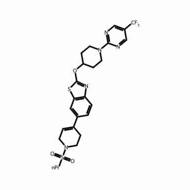 CCCS(=O)(=O)N1CC=C(c2ccc3nc(OC4CCN(c5ncc(C(F)(F)F)cn5)CC4)sc3c2)CC1